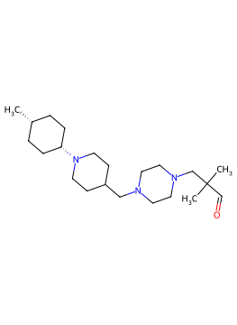 CC(C)(C=O)CN1CCN(CC2CCN([C@H]3CC[C@@H](C)CC3)CC2)CC1